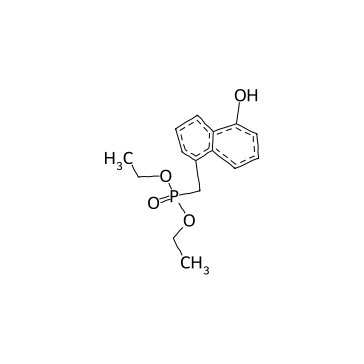 CCOP(=O)(Cc1cccc2c(O)cccc12)OCC